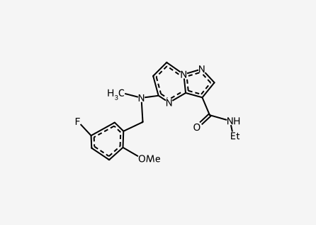 CCNC(=O)c1cnn2ccc(N(C)Cc3cc(F)ccc3OC)nc12